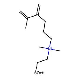 C=C(C)C(=C)CCC[N+](C)(C)CCCCCCCCCC